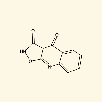 O=C1NOC2=Nc3ccccc3C(=O)C12